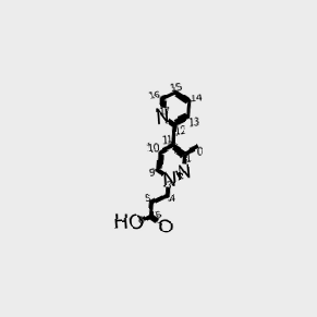 Cc1n[n+](CCC(=O)O)ccc1-c1ccccn1